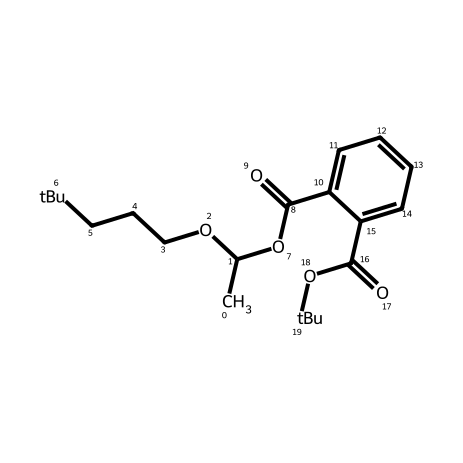 CC(OCCCC(C)(C)C)OC(=O)c1ccccc1C(=O)OC(C)(C)C